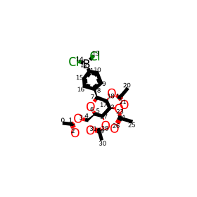 CC(=O)OC[C@H]1O[C@@H](c2ccc(B(Cl)Cl)cc2)[C@H](OC(C)=O)[C@@H](OC(C)=O)[C@@H]1OC(C)=O